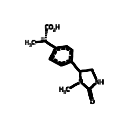 C[C@H](C(=O)O)c1ccc(C2CNC(=O)N2C)cc1